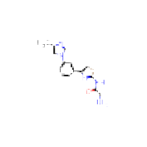 Cc1cn(-c2cccc(-c3csc(NC(=O)CN)n3)c2)cn1